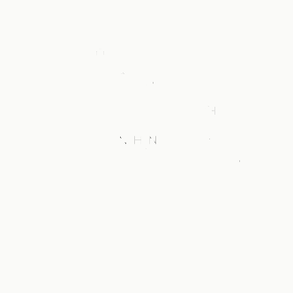 CCC(C)C(N)C(=O)O.CCCC(N)C(=O)O